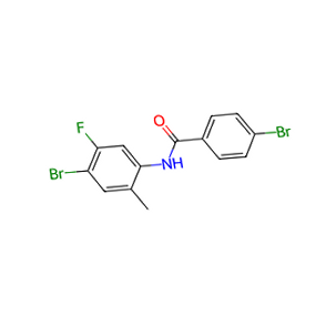 Cc1cc(Br)c(F)cc1NC(=O)c1ccc(Br)cc1